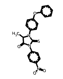 CC1C(=O)N(c2ccc([N+](=O)[O-])cc2)C(=S)N1c1ccc(Oc2ccccc2)cc1